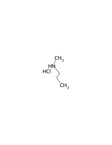 CCCNC.Cl